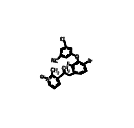 C=C(Cc1ccc(Br)c(Oc2cc(Cl)cc(C#N)c2)c1F)c1ccc[n+]([O-])c1C